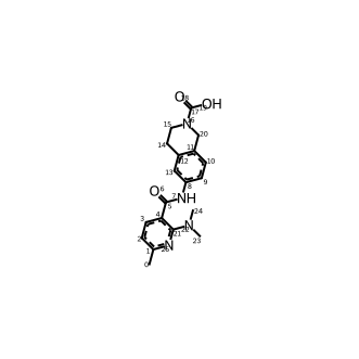 Cc1ccc(C(=O)Nc2ccc3c(c2)CCN(C(=O)O)C3)c(N(C)C)n1